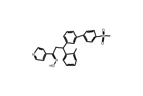 Cc1ccccc1C(C/C(=N/O)c1ccncc1)c1cccc(-c2ccc(S(C)(=O)=O)cc2)c1